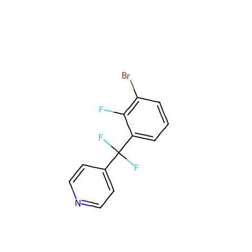 Fc1c(Br)cccc1C(F)(F)c1ccncc1